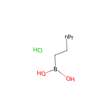 CCCCCB(O)O.Cl